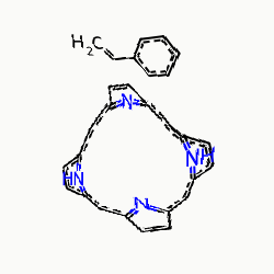 C1=Cc2cc3ccc(cc4nc(cc5ccc(cc1n2)[nH]5)C=C4)[nH]3.C=Cc1ccccc1